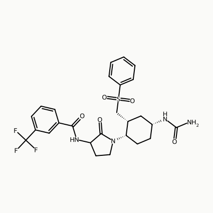 NC(=O)N[C@@H]1CC[C@H](N2CCC(NC(=O)c3cccc(C(F)(F)F)c3)C2=O)[C@H](CS(=O)(=O)c2ccccc2)C1